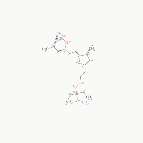 C=C=C(C)C[C@H](CC[C@@H]1O[C@@H](CCCO[Si](CC)(CC)CC)CC1=C)O[SiH3]